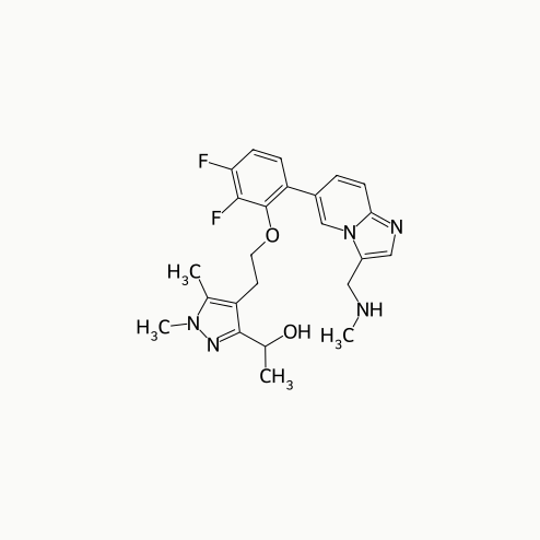 CNCc1cnc2ccc(-c3ccc(F)c(F)c3OCCc3c(C(C)O)nn(C)c3C)cn12